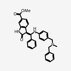 COC(=O)c1ccc2c(c1)NC(=O)C2=C(Nc1ccc(CN(C)Cc2ccccc2)cc1)c1ccccc1